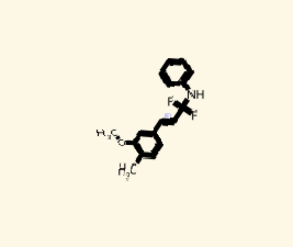 COc1cc(/C=C/C(F)(F)Nc2ccccc2)ccc1C